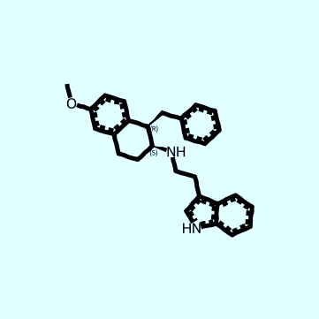 COc1ccc2c(c1)CC[C@H](NCCc1c[nH]c3ccccc13)[C@@H]2Cc1ccccc1